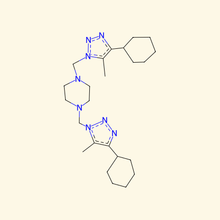 Cc1c(C2CCCCC2)nnn1CN1CCN(Cn2nnc(C3CCCCC3)c2C)CC1